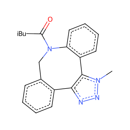 CCC(C)C(=O)N1Cc2ccccc2-c2nnn(C)c2-c2ccccc21